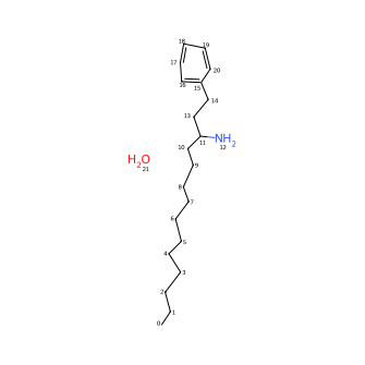 CCCCCCCCCCCC(N)CCc1ccccc1.O